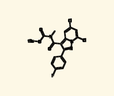 CN(C(=O)OC(C)(C)C)C(=O)c1c(-c2ccc(F)cc2)nn2c(Cl)cc(Cl)cc12